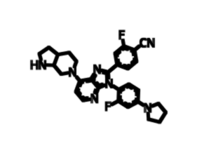 N#Cc1ccc(-c2nc3c(N4CCC5CCNC5C4)ccnc3n2-c2ccc(N3CCCC3)cc2F)cc1F